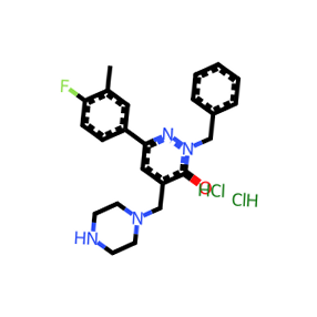 Cc1cc(-c2cc(CN3CCNCC3)c(=O)n(Cc3ccccc3)n2)ccc1F.Cl.Cl